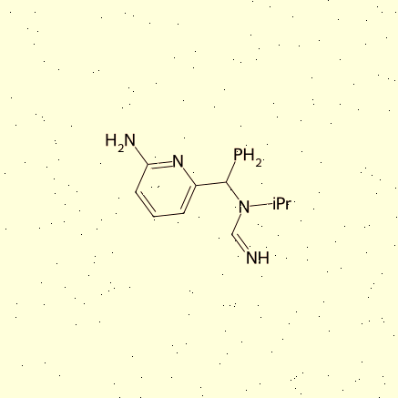 CC(C)N(C=N)C(P)c1cccc(N)n1